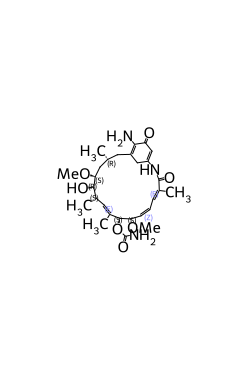 CO[C@H]1/C=C\C=C(/C)C(=O)NC2=CC(=O)C(N)=C(C2)C[C@@H](C)C[C@H](OC)[C@H](O)[C@@H](C)/C=C(\C)[C@@H]1OC(N)=O